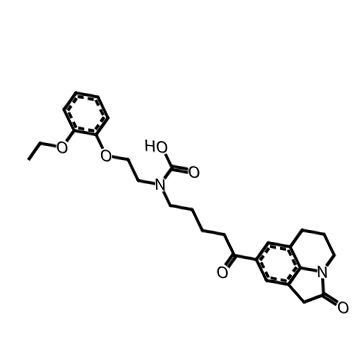 CCOc1ccccc1OCCN(CCCCC(=O)c1cc2c3c(c1)CC(=O)N3CCC2)C(=O)O